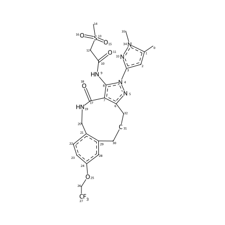 Cc1cc(-n2nc3c(c2NC(=O)CS(C)(=O)=O)C(=O)NCc2ccc(OCC(F)(F)F)cc2CCC3)nn1C